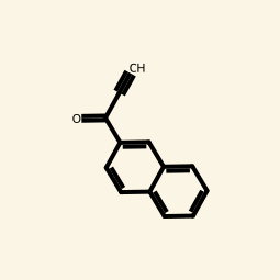 C#CC(=O)c1ccc2ccccc2c1